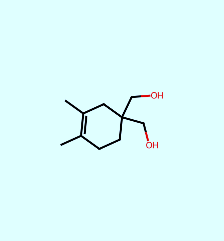 CC1=C(C)CC(CO)(CO)CC1